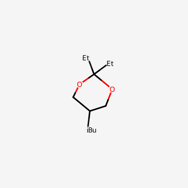 CCC(C)C1COC(CC)(CC)OC1